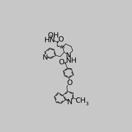 Cc1cc(COc2ccc(C(=O)NN3CCC[C@H](CC(=O)NO)C3Cc3cccnc3)cc2)c2ccccc2n1